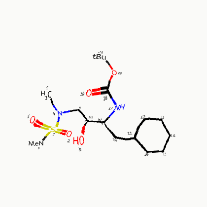 CNS(=O)(=O)N(C)C[C@H](O)[C@H](CC1CCCCC1)NC(=O)OC(C)(C)C